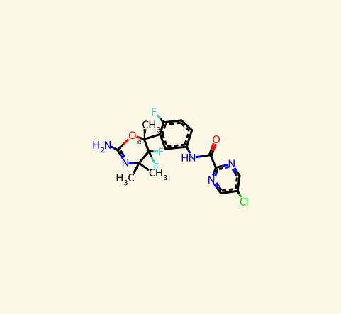 CC1(C)N=C(N)O[C@](C)(c2cc(NC(=O)c3ncc(Cl)cn3)ccc2F)C1(F)F